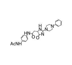 CC(=O)Nc1ccc(NC(=O)CC2NC(N3CCN(c4ccccc4)CC3)=NC2=O)cc1